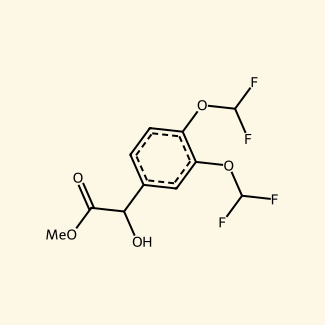 COC(=O)C(O)c1ccc(OC(F)F)c(OC(F)F)c1